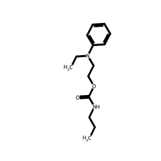 CCCNC(=O)OCCN(CC)c1ccccc1